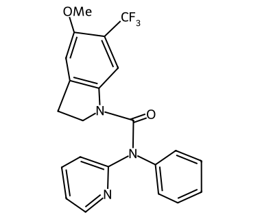 COc1cc2c(cc1C(F)(F)F)N(C(=O)N(c1ccccc1)c1ccccn1)CC2